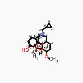 COC12C=CC3(C[C@@H]1C(C)=O)C1Cc4ccc(O)c5c4[C@@]3(CCN1CC1CC1)[C@@H]2O5